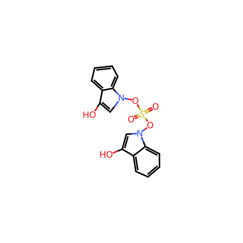 O=S(=O)(On1cc(O)c2ccccc21)On1cc(O)c2ccccc21